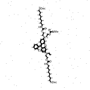 C=CN(CCOC(=O)NCCCCCCCCCCCCCCCCCC)c1ccc2c(-c3ccccc3C(=O)O)c3cc/c(=[N+](/CCOC(=O)NC)CCOC(=O)NCCCCCCCCCCCCCCCCCC)cc-3oc2c1